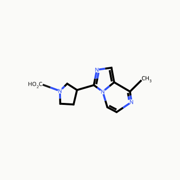 Cc1nccn2c(C3CCN(C(=O)O)C3)ncc12